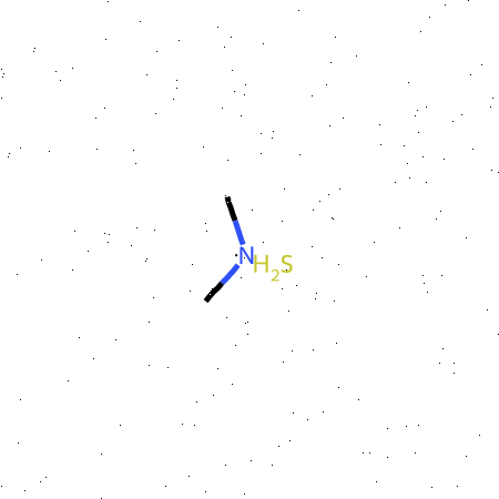 C[N]C.S